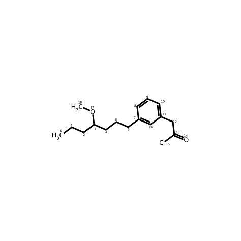 CCCC(CCCc1cccc(CC(=O)Cl)c1)OC